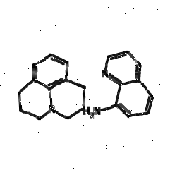 Nc1cccc2cccnc12.c1cc2c3c(c1)CCCN3CCC2